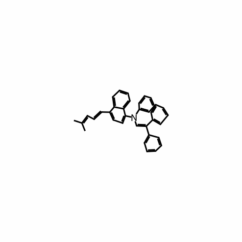 CC(C)=CC=Cc1ccc(N(C=C(c2ccccc2)c2ccccc2)c2ccccc2)c2ccccc12